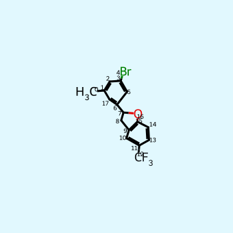 Cc1cc(Br)cc(C2Cc3cc(C(F)(F)F)ccc3O2)c1